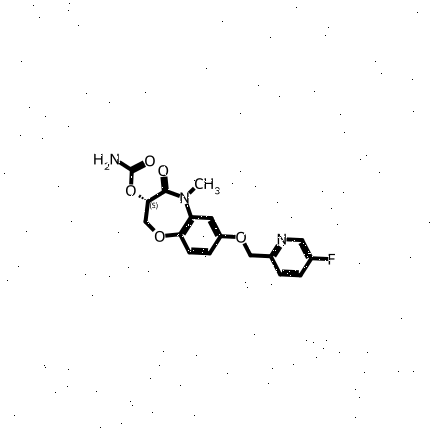 CN1C(=O)[C@@H](OC(N)=O)COc2ccc(OCc3ccc(F)cn3)cc21